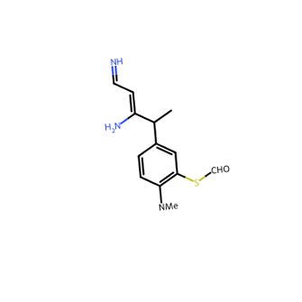 CNc1ccc(C(C)/C(N)=C/C=N)cc1SC=O